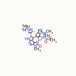 [2H]C([2H])([2H])n1cc(-c2[nH]c3ncc4c(c3c2-c2ccc3c(cnn3C(C)C)c2)n([C@@H]2CC[C@@H](NC(=O)OC)C2)c(=O)n4C)c(F)n1